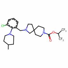 CC1CCN(c2c(Cl)cccc2CN2CCC3(CCN(C(=O)OC(C(F)(F)F)C(F)(F)F)CC3)C2)CC1